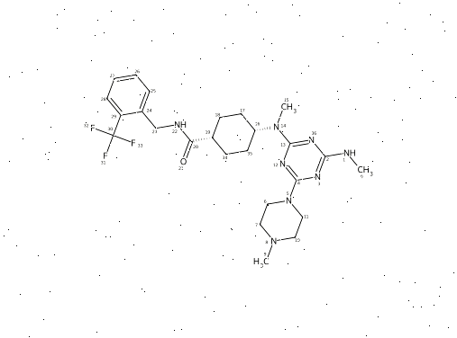 CNc1nc(N2CCN(C)CC2)nc(N(C)[C@H]2CC[C@@H](C(=O)NCc3ccccc3C(F)(F)F)CC2)n1